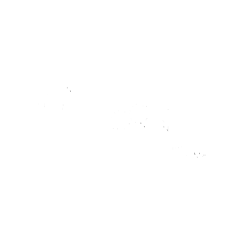 COC(=O)C[C@H]1CSC(c2ccc3cc(OCCCN(C)C(=O)OC(C)(C)C)ccc3n2)=N1